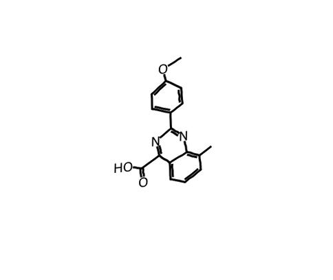 COc1ccc(-c2nc(C(=O)O)c3cccc(C)c3n2)cc1